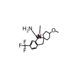 COC1CCC2(CC1)Cc1ccc(C(F)(F)F)cc1C21N=C(N)N(C)O1